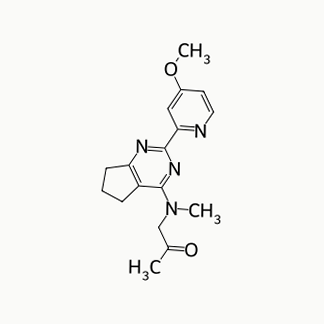 COc1ccnc(-c2nc3c(c(N(C)CC(C)=O)n2)CCC3)c1